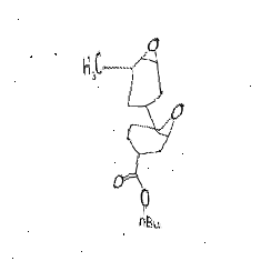 CCCCOC(=O)C1CCC2(C3CC(C)C4OC4C3)OC2C1